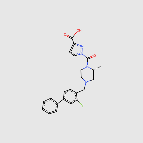 C[C@@H]1CN(Cc2ccc(-c3ccccc3)cc2F)CCN1C(=O)n1ccc(C(=O)O)n1